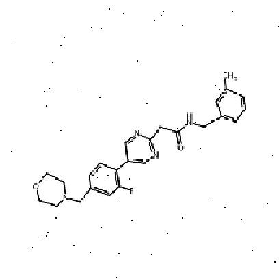 Cc1cccc(CNC(=O)Cc2ncc(-c3ccc(CN4CCOCC4)cc3F)cn2)c1